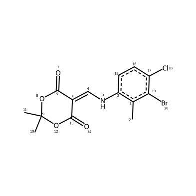 Cc1c(NC=C2C(=O)OC(C)(C)OC2=O)ccc(Cl)c1Br